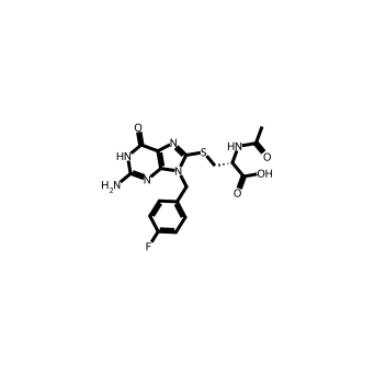 CC(=O)N[C@@H](CSc1nc2c(=O)[nH]c(N)nc2n1Cc1ccc(F)cc1)C(=O)O